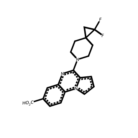 O=C(O)c1ccc2c(c1)nc(N1CCC3(CC1)CC3(F)F)c1cccn12